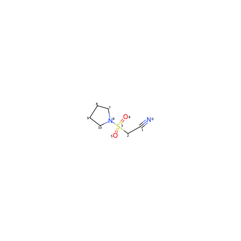 N#CCS(=O)(=O)N1CCCC1